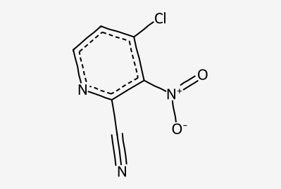 N#Cc1nccc(Cl)c1[N+](=O)[O-]